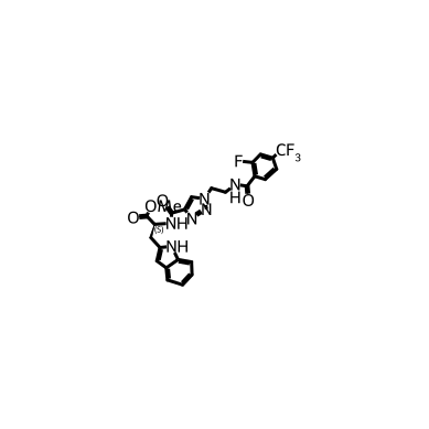 COC(=O)[C@H](Cc1cc2ccccc2[nH]1)NC(=O)c1cn(CCNC(=O)c2ccc(C(F)(F)F)cc2F)nn1